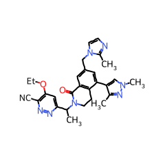 CCOc1cc(C(C)N2CCc3c(cc(Cn4ccnc4C)cc3-c3cn(C)nc3C)C2=O)nnc1C#N